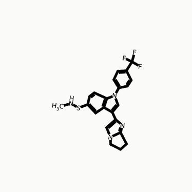 CNSc1ccc2c(c1)c(-c1cn3c(n1)CCC3)cn2-c1ccc(C(F)(F)F)cc1